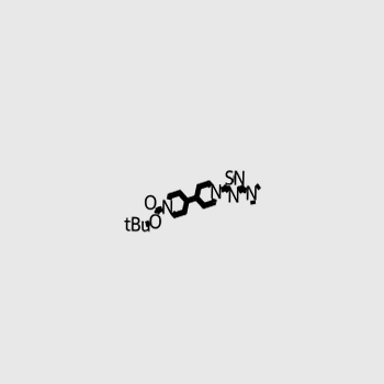 CN(C)c1nsc(N2CCC(C3CCN(C(=O)OC(C)(C)C)CC3)CC2)n1